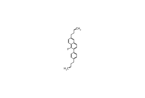 C=CCCc1ccc(-c2ccc3cc(CCC=C)ccc3c2F)cc1